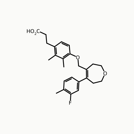 Cc1ccc(C2=C(COc3ccc(CCC(=O)O)c(C)c3C)CCOCC2)cc1F